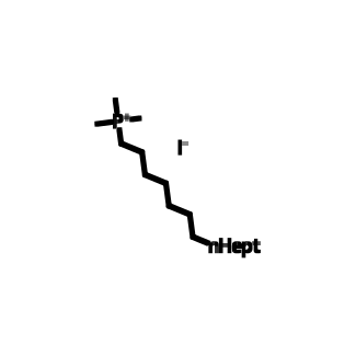 CCCCCCCCCCCCCC[P+](C)(C)C.[I-]